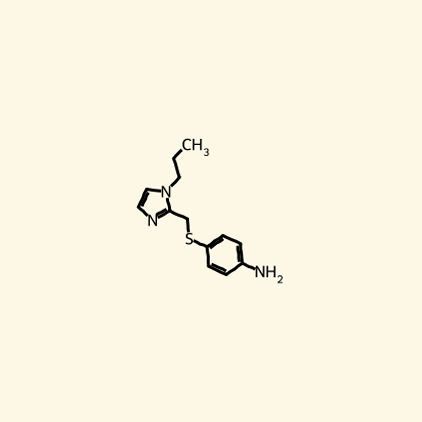 CCCn1ccnc1CSc1ccc(N)cc1